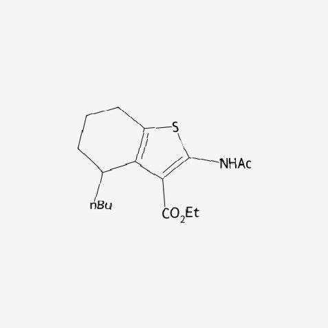 CCCCC1CCCc2sc(NC(C)=O)c(C(=O)OCC)c21